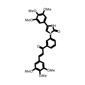 COc1cc(/C=C/C(=O)c2cccc(-n3cc(-c4cc(OC)c(OC)c(OC)c4)[nH]c3=O)c2)cc(OC)c1OC